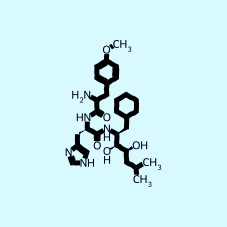 COc1ccc(CC(N)C(=O)N[C@@H](Cc2c[nH]cn2)C(=O)N[C@@H](CC2CCCCC2)[C@@H](O)[C@@H](O)CC(C)C)cc1